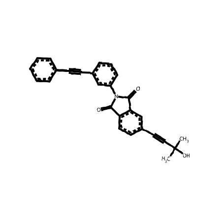 CC(C)(O)C#Cc1ccc2c(c1)C(=O)N(c1cccc(C#Cc3ccccc3)c1)C2=O